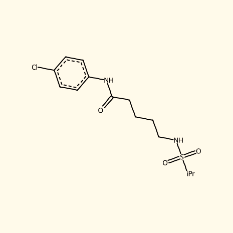 CC(C)S(=O)(=O)NCCCCC(=O)Nc1ccc(Cl)cc1